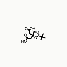 CC(C)(C)B1OC(=O)C(CC(=O)O)(CC(=O)O)O1